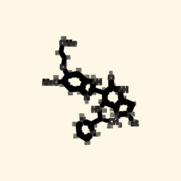 CCn1cc2[nH]c(=O)c(-c3nc4cc(OC)c(OCCOC)cc4[nH]3)c(N[C@@H](C)c3ncccn3)c2n1